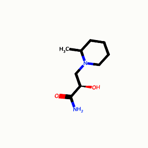 CC1CCCCN1C[C@@H](O)C(N)=O